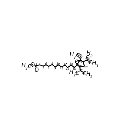 COC(=O)CCCCCCCCCCCCCC(CC(C(=O)OC)C(C)C)C(C)C